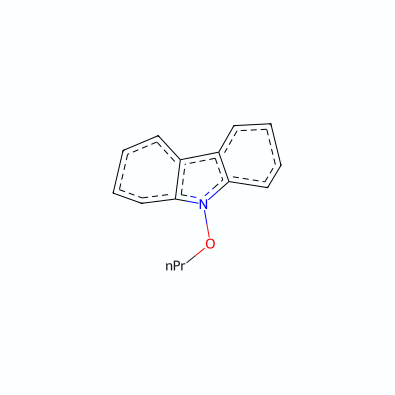 CCCOn1c2ccccc2c2ccccc21